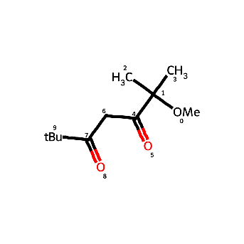 COC(C)(C)C(=O)CC(=O)C(C)(C)C